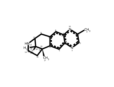 Cc1cnc2cc3c(cc2n1)CC1NCC[C@]3(C)C1(C)C